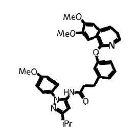 COc1ccc(-n2nc(C(C)C)cc2NC(=O)CCc2cccc(OC3=c4cc(OC)c(OC)cc4=CCC=N3)c2)cc1